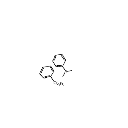 CCOC(=O)c1ccccc1.CN(C)c1ccccc1